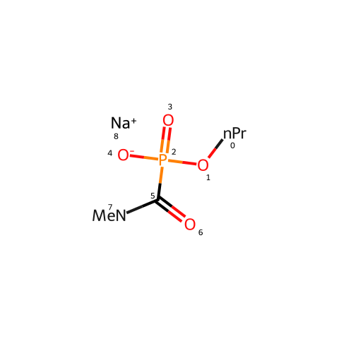 CCCOP(=O)([O-])C(=O)NC.[Na+]